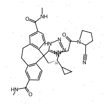 CNC(=O)c1ccc2c(c1)CCc1cc(C(=O)NC)ccc1C2(C[C@H](NCC(=O)N1CCCC1C#N)C1CC1)c1nnn[nH]1